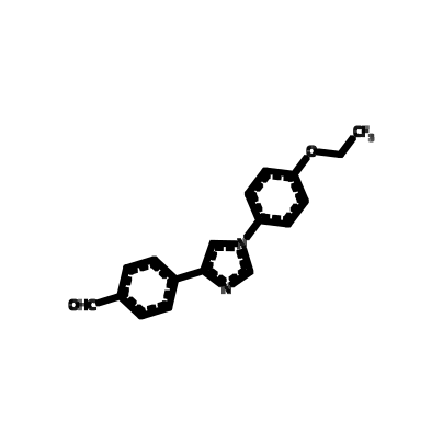 O=Cc1ccc(-c2cn(-c3ccc(OCC(F)(F)F)cc3)cn2)cc1